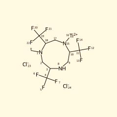 CN1CC(C(F)(F)F)NCC(C(F)(F)F)[N]([Ti+2])CC1C(F)(F)F.[Cl-].[Cl-]